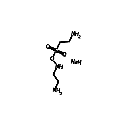 NCCNOS(=O)(=O)CCN.[NaH]